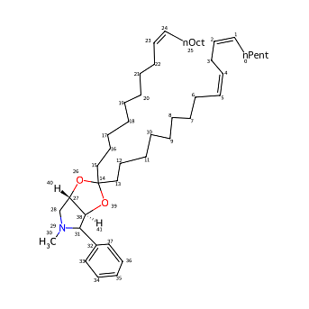 CCCCC/C=C\C/C=C\CCCCCCCCC1(CCCCCCCC/C=C\CCCCCCCC)O[C@H]2CN(C)C(c3ccccc3)[C@@H]2O1